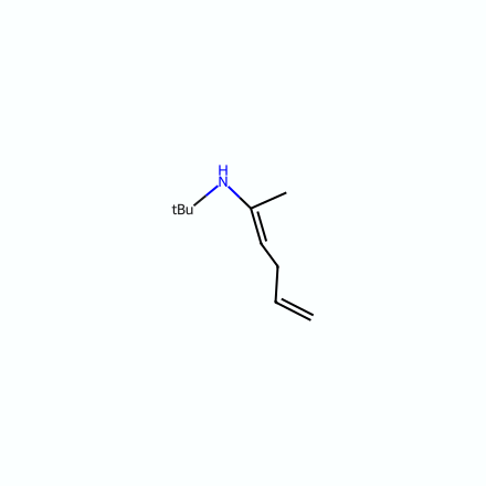 C=CCC=C(C)NC(C)(C)C